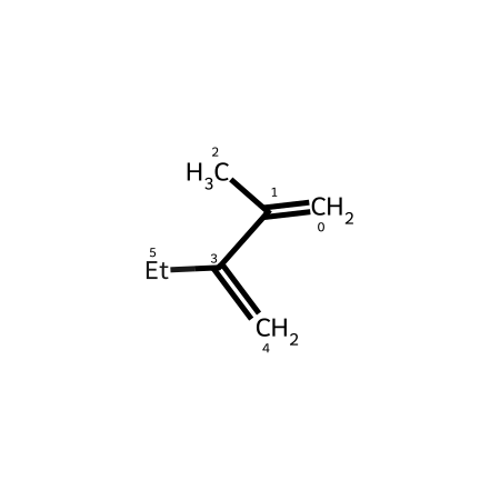 C=C(C)C(=C)CC